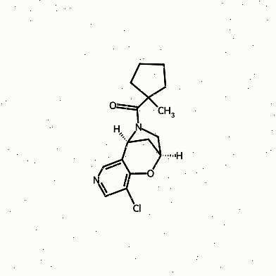 CC1(C(=O)N2C[C@@H]3C[C@H]2c2cncc(Cl)c2O3)CCCC1